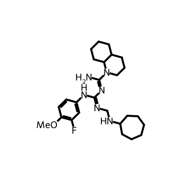 COc1ccc(NC(=N/CNC2CCCCCC2)/N=C(\N)N2CCCC3CCCCC32)cc1F